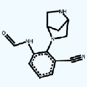 N#Cc1cccc(NC=O)c1N1CC2CC1CN2